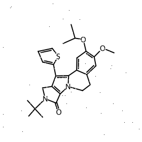 COc1cc2c(cc1OC(C)C)-c1c(-c3cccs3)c3c(n1CC2)C(=O)N(C(C)(C)C)C3